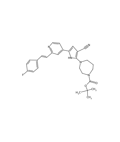 CC(C)(C)OC(=O)N1CCCN(c2[nH]c(-c3ccnc(/C=C/c4ccc(F)cc4)c3)cc2C#N)CC1